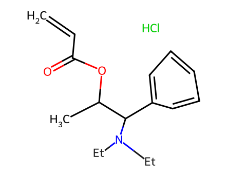 C=CC(=O)OC(C)C(c1ccccc1)N(CC)CC.Cl